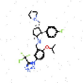 CC(C)Oc1ccc(-n2nnnc2C(F)(F)F)cc1CN[C@H]1CC[C@H](CN2CCCC2)[C@H]1c1ccc(F)cc1